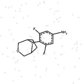 Nc1cc(F)c(N2C3CCC2COC3)c(F)c1